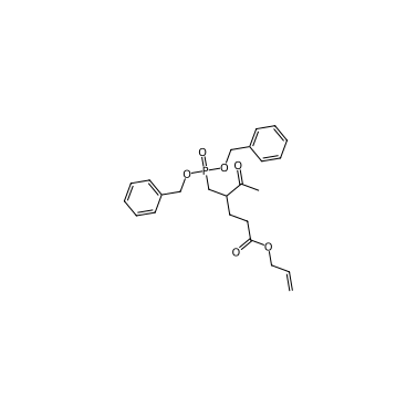 C=CCOC(=O)CCC(CP(=O)(OCc1ccccc1)OCc1ccccc1)C(C)=O